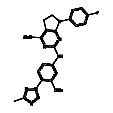 CNc1nc(Nc2ccc(-n3cnc(C)n3)c(OC)c2)nc2c1CCN2c1ccc(F)cc1